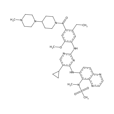 CCc1cc(Nc2ncc(C3CC3)c(Nc3ccc4nccnc4c3N(C)S(C)(=O)=O)n2)c(OC)cc1C(=O)N1CCC(N2CCN(C)CC2)CC1